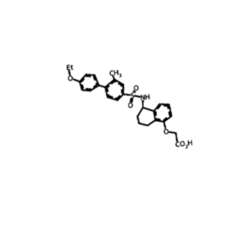 CCOc1ccc(-c2ccc(S(=O)(=O)N[C@@H]3CCCc4c(OCC(=O)O)cccc43)cc2C)cc1